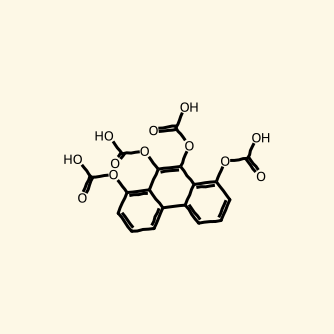 O=C(O)Oc1cccc2c1c(OC(=O)O)c(OC(=O)O)c1c(OC(=O)O)cccc12